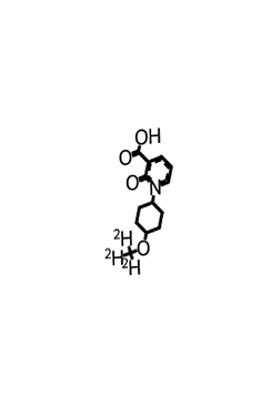 [2H]C([2H])([2H])OC1CCC(n2cccc(C(=O)O)c2=O)CC1